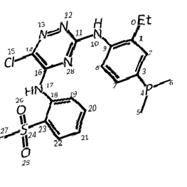 CCc1cc(P(C)C)ccc1Nc1nnc(Cl)c(Nc2ccccc2S(=O)(=O)C(C)C)n1